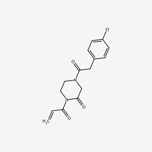 C=CC(=O)N1CCN(C(=O)Cc2ccc(Cl)cc2)CC1=O